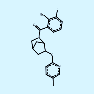 Cc1ccc(OC2CC3CC2N(C(=O)c2cccc(F)c2Br)C3)nc1